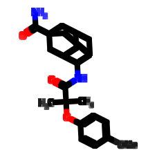 COc1ccc(OC(C)(C)C(=O)NC2C3CC4CC2CC(C(N)=O)(C4)C3)cc1